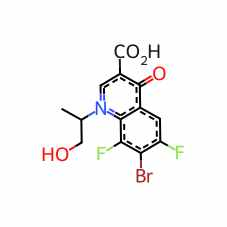 CC(CO)n1cc(C(=O)O)c(=O)c2cc(F)c(Br)c(F)c21